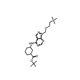 CC(C)(C)OC(=O)N1CCCC(Nc2ncnc3c2cnn3COCC[Si](C)(C)C)C1